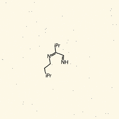 CC(C)CC/N=C(\C=N)C(C)C